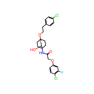 O=C(COc1ccc(Cl)c(F)c1)NC12CCC(OCCc3ccc(Cl)cc3)(CC1)CC2O